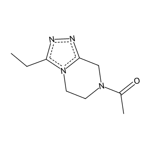 CCc1nnc2n1CCN(C(C)=O)C2